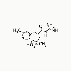 CS(=O)(=O)O.Cc1ccc2c(c1)C=C(C(=O)NC(=N)N)CCO2